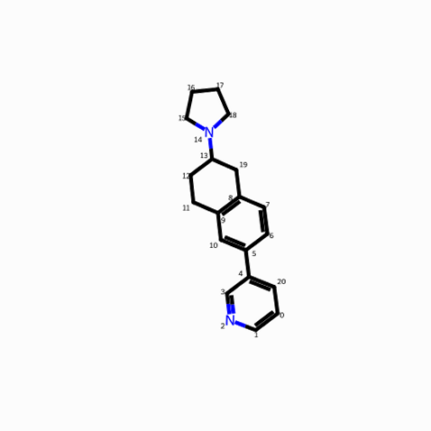 c1cncc(-c2ccc3c(c2)CCC(N2CCCC2)C3)c1